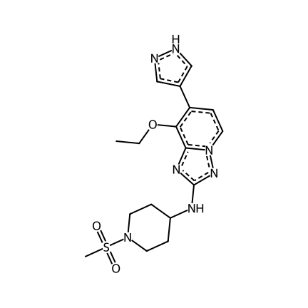 CCOc1c(-c2cn[nH]c2)ccn2nc(NC3CCN(S(C)(=O)=O)CC3)nc12